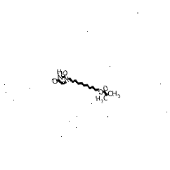 C=C(C)C(=O)OCCCCCCCCCCCn1ccc(=O)[nH]c1=O